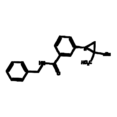 CCCCC1(C(=O)O)C[C@H]1c1cccc(C(=O)NCc2ccccc2)c1